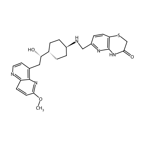 COc1ccc2nccc(C[C@H](O)[C@H]3CC[C@H](NCc4ccc5c(n4)NC(=O)CS5)CC3)c2n1